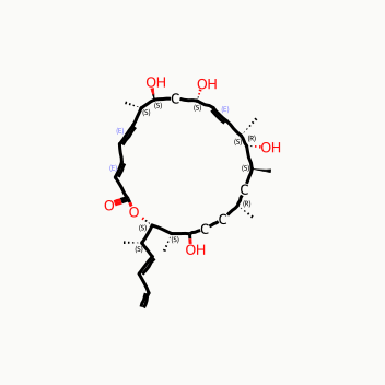 C=CC=C[C@H](C)[C@@H]1OC(=O)/C=C/C=C/[C@H](C)[C@@H](O)C[C@H](O)/C=C/[C@H](C)[C@H](O)[C@@H](C)C[C@H](C)CCC(O)[C@@H]1C